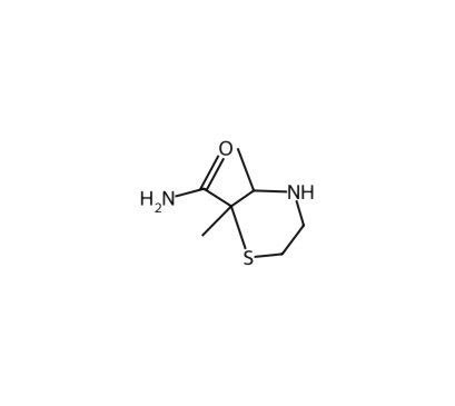 CC1NCCSC1(C)C(N)=O